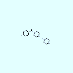 O=C(c1ccc(F)cc1)c1ccc(S(=O)(=O)c2ccc(Cl)cc2)cc1